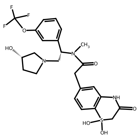 CN(C(=O)Cc1ccc2c(c1)NC(=O)CS2(O)O)[C@H](CN1CC[C@H](O)C1)c1cccc(OC(F)(F)F)c1